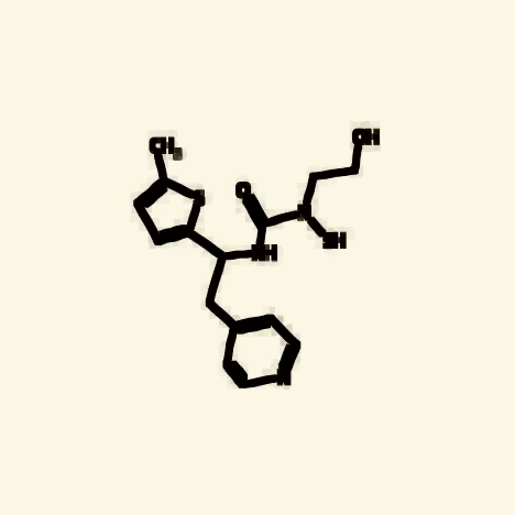 Cc1ccc(C(Cc2ccncc2)NC(=O)N(S)CCO)s1